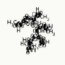 Cc1cn([C@H]2CC(OP(=O)(O)OC[C@H]3O[C@@H](n4cc(C)c(=O)[nH]c4=O)CC3OP(=O)(O)OC[C@H]3O[C@@H](n4cc(C)c(=O)[nH]c4=O)CC3OP(=O)(O)OC[C@H]3O[C@@H](n4cc(C)c(=O)[nH]c4=O)CC3OP(=O)(O)OC[C@H]3O[C@@H](n4ccc(=O)[nH]c4=O)[C@@H](O)C3O)[C@@H](CO)O2)c(=O)[nH]c1=O